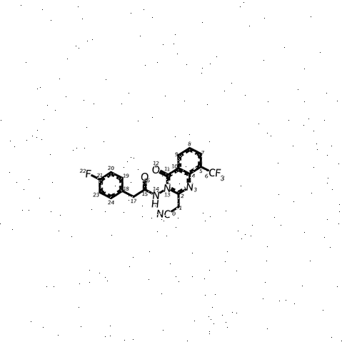 N#CCc1nc2c(C(F)(F)F)cccc2c(=O)n1NC(=O)Cc1ccc(F)cc1